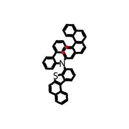 c1ccc(-c2ccccc2N(c2ccc3c(ccc4ccc5ccccc5c43)c2)c2cccc3c2sc2ccc4ccccc4c23)cc1